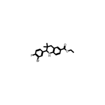 CCOC(=O)c1ccc2c(c1)CC(C)(C)C(c1ccc(F)c(Br)c1)N2